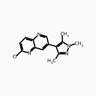 Cc1nn(C)c(C)c1-c1cnc2ccc(Cl)nc2c1